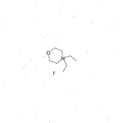 CC[N+]1(CC)CCOCC1.[I-]